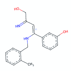 Cc1ccccc1CN/C(=C\C(=N)CO)c1cccc(O)c1